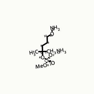 COS(=O)(=O)OC(C)(C)CCCON.N